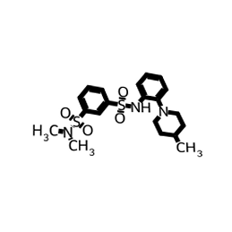 CC1CCN(c2ccccc2NS(=O)(=O)c2cccc(S(=O)(=O)N(C)C)c2)CC1